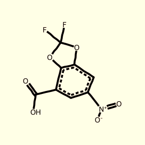 O=C(O)c1cc([N+](=O)[O-])cc2c1OC(F)(F)O2